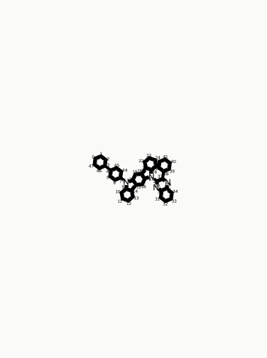 c1ccc(-c2ccc(-n3c4ccccc4c4cc5c(cc43)c3ccccc3n5-c3nc4ccccc4nc3-c3ccccc3)cc2)cc1